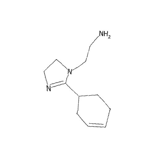 NCCN1CCN=C1C1CC=CCC1